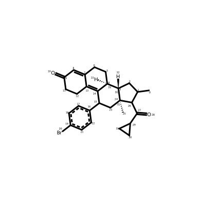 CC1C[C@H]2[C@@H]3CCC4=CC(=O)CCC4=C3C(c3ccc(Br)cc3)C[C@]2(C)C1C(=O)C1CC1